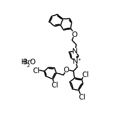 Clc1ccc(COC(C[n+]2ccn(CCOc3ccc4ccccc4c3)c2)c2ccc(Cl)cc2Cl)c(Cl)c1.O.[Br-]